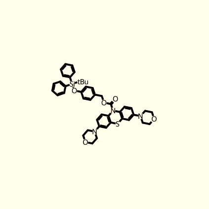 CC(C)(C)[Si](Oc1ccc(COC(=O)N2c3ccc(N4CCOCC4)cc3Sc3cc(N4CCOCC4)ccc32)cc1)(c1ccccc1)c1ccccc1